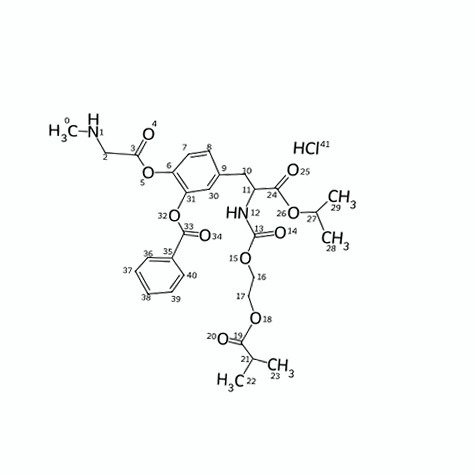 CNCC(=O)Oc1ccc(CC(NC(=O)OCCOC(=O)C(C)C)C(=O)OC(C)C)cc1OC(=O)c1ccccc1.Cl